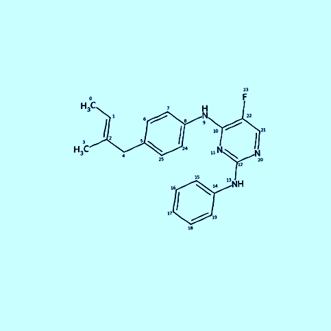 CC=C(C)Cc1ccc(Nc2nc(Nc3ccccc3)ncc2F)cc1